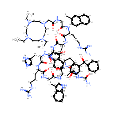 N=C(N)NCCC[C@H](NC(=O)[C@@H](Cc1ccc2ccccc2c1)NC(=O)CN1CCN(CC(=O)O)CCN(CC(=O)O)CCN(CC(=O)O)CC1)C(=O)N[C@@H](Cc1c[nH]c2ccccc12)C(=O)N[C@@H](CO)C(=O)N[C@@H](Cc1cnc[nH]1)C(=O)N[C@H](CCCNC(=N)N)C(=O)N[C@@H](Cc1c[nH]c2ccccc12)C(=O)N[C@@H](Cc1ccc(C(=O)c2ccccc2)cc1)C(=O)N1CCC[C@H]1C(=O)NNC(N)=O